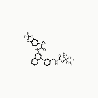 CC(C)(C)OC(=O)NCc1cccc(-c2nc(NC(=O)C3(c4ccc5c(c4)OC(F)(F)O5)CC3)cc3ccccc23)c1